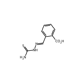 NC(=S)NN=Cc1ccccc1C(=O)O